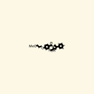 COCCCOc1ccc2c(c1)N=C[C@@H]1CC(c3ccccc3)=CN1C2=O